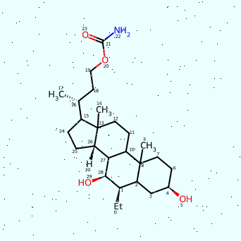 CC[C@@H]1C2C[C@H](O)CCC2(C)C2CCC3(C)C([C@H](C)CCOC(N)=O)CC[C@H]3C2[C@@H]1O